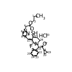 CCCOC(=O)Cn1ccc(/C=C2/CN(C(C(=O)C3CC3)c3ccccc3F)CCC2S)n1.Cl